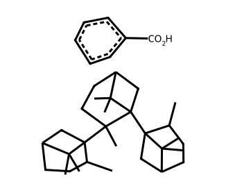 CC1CCC2CC1(C1(C)CCC3CC1(C14CC(CCC1C)C4(C)C)C3(C)C)C2(C)C.O=C(O)c1ccccc1